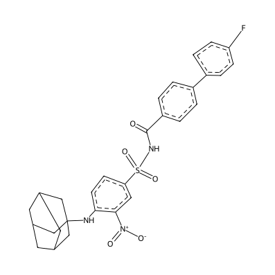 O=C(NS(=O)(=O)c1ccc(NC23CC4CC(CC(C4)C2)C3)c([N+](=O)[O-])c1)c1ccc(-c2ccc(F)cc2)cc1